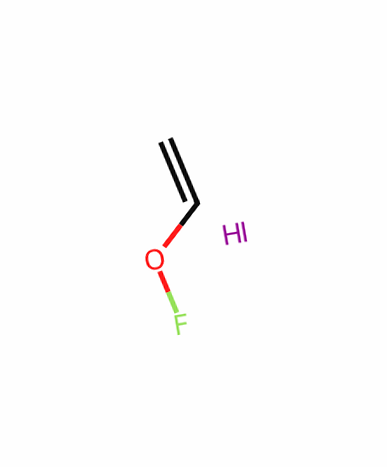 C=COF.I